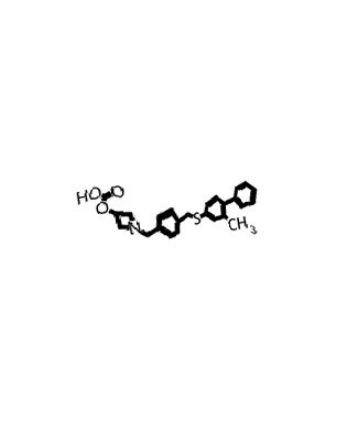 Cc1cc(SCc2ccc(CN3CC(OC(=O)O)C3)cc2)ccc1-c1ccccc1